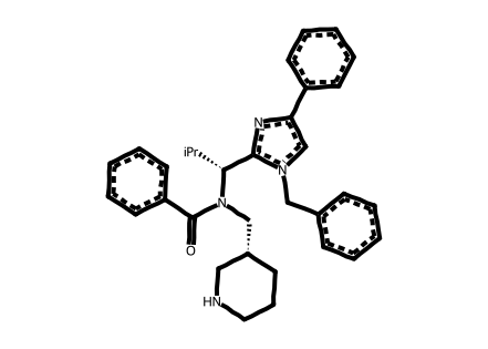 CC(C)[C@H](c1nc(-c2ccccc2)cn1Cc1ccccc1)N(C[C@@H]1CCCNC1)C(=O)c1ccccc1